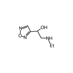 CCNCC(O)c1cnon1